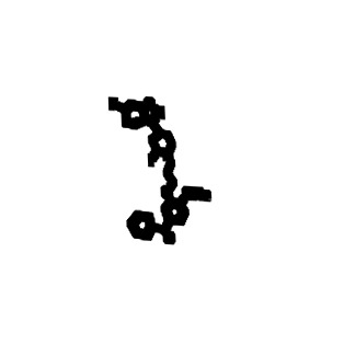 COc1ccc(C(=O)c2ccccc2)cc1OCCCN1CCC(c2noc3cc(F)ccc23)CC1I